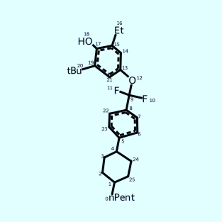 CCCCCC1CCC(c2ccc(C(F)(F)Oc3cc(CC)c(O)c(C(C)(C)C)c3)cc2)CC1